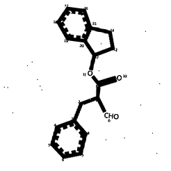 O=CC(Cc1ccccc1)C(=O)OC1CCc2ccccc21